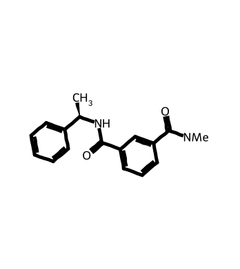 CNC(=O)c1cccc(C(=O)N[C@H](C)c2ccccc2)c1